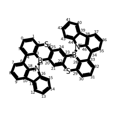 c1cc2c3c(c1)-c1cccc4c5ccccc5n(c14)B3c1cc3c(cc1S2)B1c2c(cccc2-c2cccc4c5ccccc5n1c24)S3